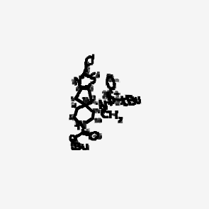 C=[N+]([C@H]1c2sc(Cl)nc2CC12CCN(C(=O)OC(C)(C)C)CC2)[S@@+]([O-])C(C)(C)C